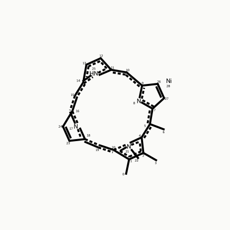 Cc1c(C)c2c(C)c3nc(cc4ccc(cc5nc(cc1n2C)C=C5)[nH]4)C=C3.[Ni]